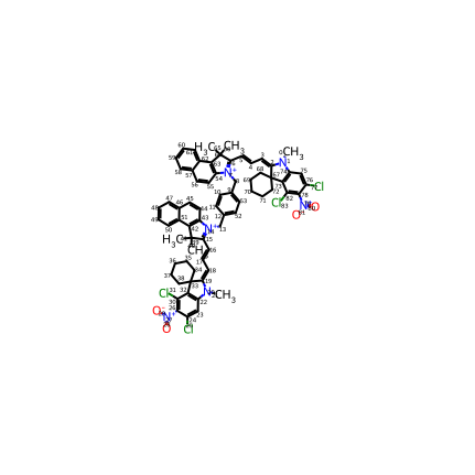 CN1/C(=C/C=C/C2=[N+](Cc3ccc(C[N+]4=C(/C=C/C=C5/N(C)c6cc(Cl)c([N+](=O)[O-])c(Cl)c6C56CCCCC6)C(C)(C)c5c4ccc4ccccc54)cc3)c3ccc4ccccc4c3C2(C)C)C2(CCCCC2)c2c1cc(Cl)c([N+](=O)[O-])c2Cl